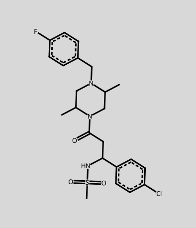 CC1CN(C(=O)CC(NS(C)(=O)=O)c2ccc(Cl)cc2)C(C)CN1Cc1ccc(F)cc1